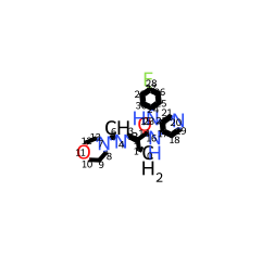 C=C/C(=C\N=C(/C)N1CCCOCC1)C(=O)Nc1ccncc1Nc1ccc(F)cc1